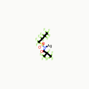 O=C([N]([Ag])S(=O)(=O)C(F)(F)C(F)(F)C(F)(F)C(F)(F)F)C(F)(C(F)(F)F)C(F)(F)F